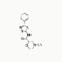 N#CN1CCOC(C(=O)Nc2nnc(-c3ccccc3)s2)C1